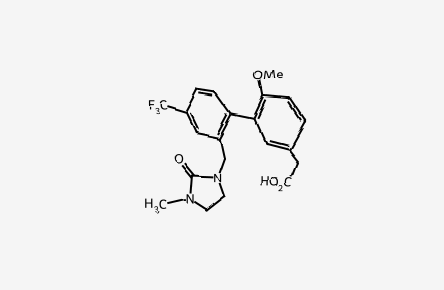 COc1ccc(CC(=O)O)cc1-c1ccc(C(F)(F)F)cc1CN1CCN(C)C1=O